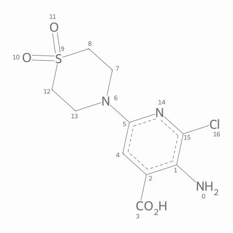 Nc1c(C(=O)O)cc(N2CCS(=O)(=O)CC2)nc1Cl